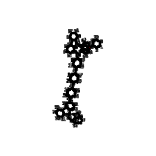 c1ccc(-c2ccc(N(c3ccc(-c4ccc(-c5ccc(-c6ccc7c(c6)-c6ccccc6C76C7CC8CC9CC6C9(C8)C7)cc5)cc4)cc3)c3cccc4c5ccccc5n(-c5ccccc5)c34)cc2)cc1